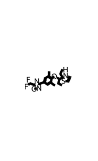 CCC(Oc1c(C)cc(-c2noc(C(F)F)n2)cc1C)C1(CC)NC=CS1